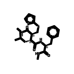 CNC(=O)[C@H](Cc1ccccc1)NC(=O)[C@H](CC(C)C)[C@H](CSc1cccs1)C(=O)NC